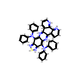 c1ccc(N(c2ccccc2)c2c3nsnc3c(N(c3ccccc3)c3ccccc3)c3nc4c5cccnc5c5ncccc5c4nc23)cc1